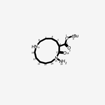 CC(C)(C)OC(=O)C1CCCCNCCCCCN(N)C1=O